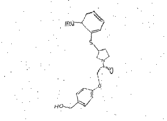 COC1CC=CC=C1SC1CCN(C(=O)COc2ccc(CO)cc2)C1